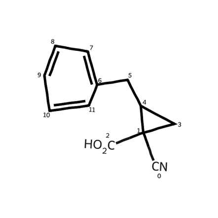 N#CC1(C(=O)O)CC1Cc1ccccc1